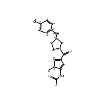 CC(=O)Nc1cc(C(=O)N2CC[C@@H](Nc3ncc(Cl)cn3)C2)nn1C